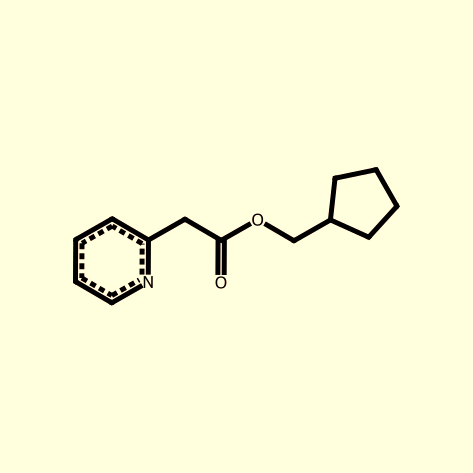 O=C(Cc1ccccn1)OCC1CCCC1